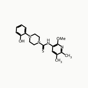 COc1nc(C)c(C)cc1NC(=S)N1CCN(c2ccccc2O)CC1